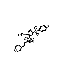 CCCc1ccc(S(=O)(=O)c2ccc(F)cc2)cc1S(=O)(=O)NCCC1CCOCC1